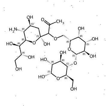 CC(=O)C(OC[C@H]1O[C@@H](O[C@H]2[C@H](O)[C@@H](O)[C@@H](O)O[C@@H]2CO)[C@H](O)[C@@H](O)[C@H]1O)[C@]1(O)C[C@H](O)[C@@H](N)[C@H]([C@H](O)[C@H](O)CO)O1